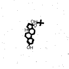 CC(C)(C)COC1(O)CC[C@H]2C3CCc4cc(O)ccc4C3CC[C@@]21C